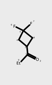 CCC(=O)C1CC(F)(F)C1